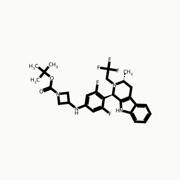 C[C@@H]1Cc2c([nH]c3ccccc23)[C@@H](c2c(F)cc(NC3CN(C(=O)OC(C)(C)C)C3)cc2F)N1CC(F)(F)F